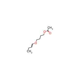 CCC=COCCCCOC(C)=O